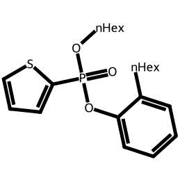 CCCCCCOP(=O)(Oc1ccccc1CCCCCC)c1cccs1